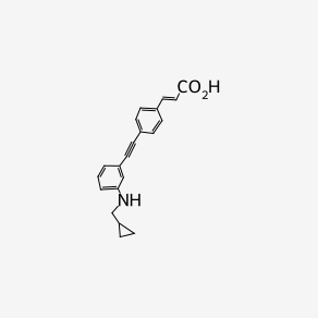 O=C(O)/C=C/c1ccc(C#Cc2cccc(NCC3CC3)c2)cc1